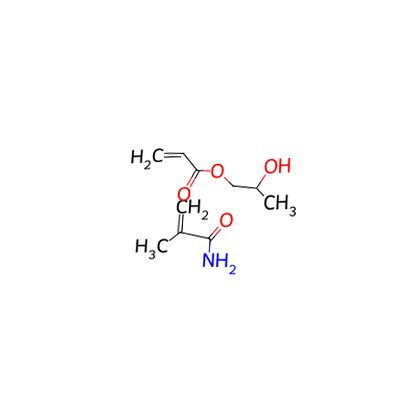 C=C(C)C(N)=O.C=CC(=O)OCC(C)O